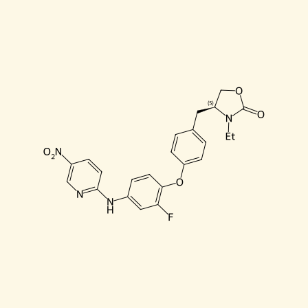 CCN1C(=O)OC[C@@H]1Cc1ccc(Oc2ccc(Nc3ccc([N+](=O)[O-])cn3)cc2F)cc1